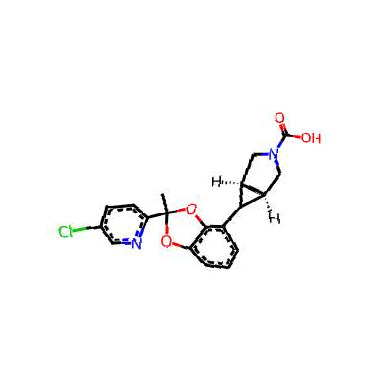 CC1(c2ccc(Cl)cn2)Oc2cccc(C3[C@H]4CN(C(=O)O)C[C@@H]34)c2O1